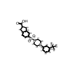 O=C(O)C1Cc2ccc(S(=O)(=O)N3CCN(c4cccc(C(F)(F)F)c4)CC3)cc2C1